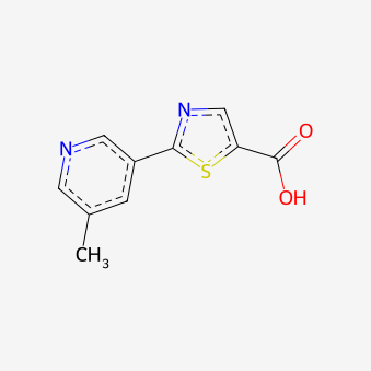 Cc1cncc(-c2ncc(C(=O)O)s2)c1